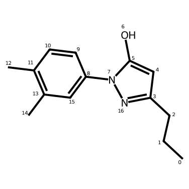 CCCc1cc(O)n(-c2ccc(C)c(C)c2)n1